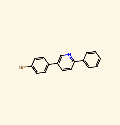 Brc1ccc(-c2ccc(-c3ccccc3)nc2)cc1